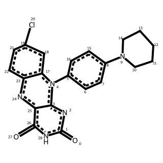 O=c1nc2n(-c3ccc(N4CCCCC4)cc3)c3cc(Cl)ccc3nc-2c(=O)[nH]1